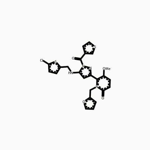 COc1ccc(=O)n(Cc2ccco2)c1-c1cc(NCc2ccc(Cl)s2)n(C(=O)c2ccsc2)n1